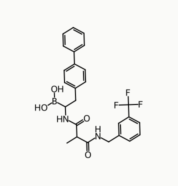 CC(C(=O)NCc1cccc(C(F)(F)F)c1)C(=O)NC(Cc1ccc(-c2ccccc2)cc1)B(O)O